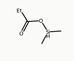 CCC(=O)O[SiH](C)C